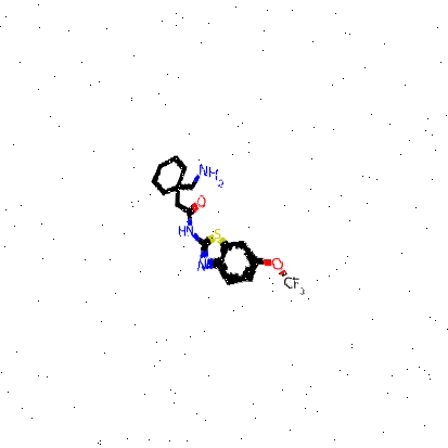 NCC1(CC(=O)Nc2nc3ccc(OC(F)(F)F)cc3s2)CCCCC1